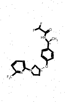 C[C@H](NC(=O)C(F)F)c1ccc(O[C@@H]2CCN(c3cccc(C(F)(F)F)n3)C2)cc1